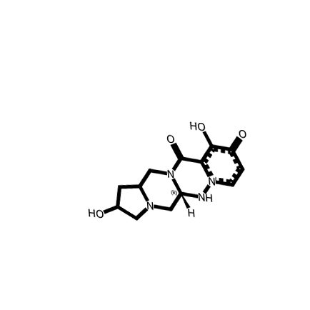 O=C1c2c(O)c(=O)ccn2N[C@@H]2CN3CC(O)CC3CN12